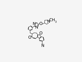 CN1CCC(COc2cnc(-c3cccc(CC4CCC5=C(/C=C\C4=O)c4cc(C#N)ccc4C5=O)c3)nc2)CC1